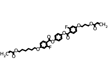 C=CC(=O)OCCCCCCOc1ccc(C(=O)Oc2ccc(OC(=O)c3ccc(OCCCOC(=O)C=C)cc3F)cc2)c(F)c1